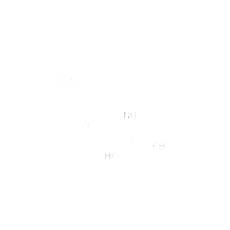 C=CC(=O)NC(=C)O